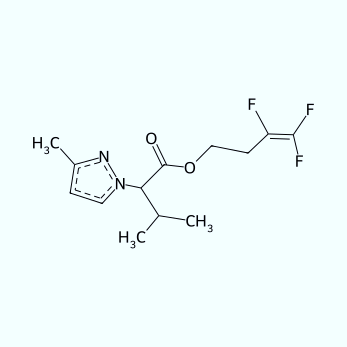 Cc1ccn(C(C(=O)OCCC(F)=C(F)F)C(C)C)n1